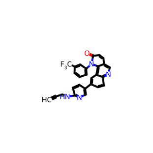 C#CCNc1ccc(-c2ccc3ncc4ccc(=O)n(-c5cccc(C(F)(F)F)c5)c4c3c2)cn1